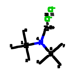 C[Si](C)(C)[N]([Zr+2])[Si](C)(C)C.[Cl-].[Cl-]